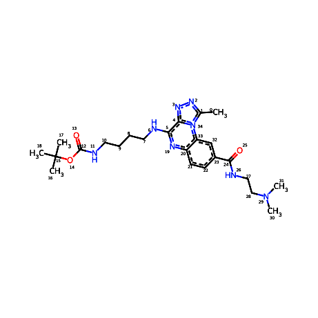 Cc1nnc2c(NCCCCNC(=O)OC(C)(C)C)nc3ccc(C(=O)NCCN(C)C)cc3n12